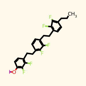 CCCc1ccc(CCc2ccc(CCc3ccc(OI)c(F)c3F)c(F)c2F)c(F)c1F